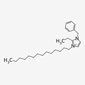 CCCCCCCCCCCCCC[n+]1ccn(Cc2ccccc2)c1CC